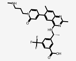 CNCCCn1ccc(-c2cc3c(N[C@H](C)c4cc(C(=O)O)cc(C(F)(F)F)c4)nc(C)nc3cc2C)cc1=O